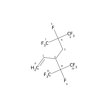 C=CC(CC(F)(C(F)(F)F)C(F)(F)F)C(F)(C(F)(F)F)C(F)(F)F